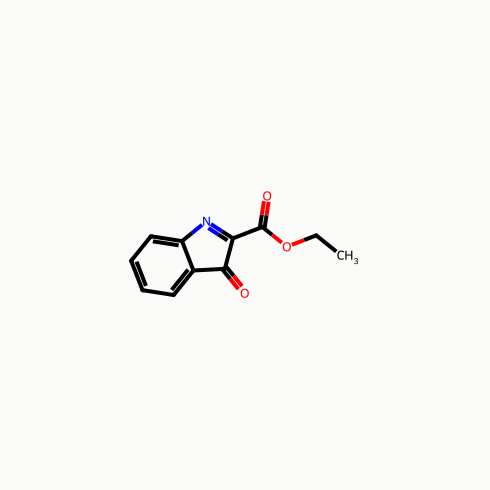 CCOC(=O)C1=Nc2ccccc2C1=O